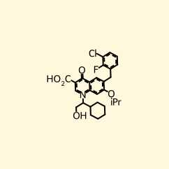 CC(C)Oc1cc2c(cc1Cc1cccc(Cl)c1F)c(=O)c(C(=O)O)cn2C(CO)C1CCCCC1